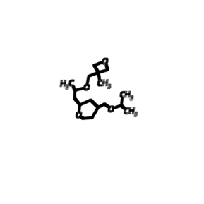 CC(C)OCC1CCOC(CC(C)OCC2(C)COC2)C1